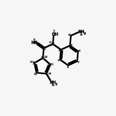 N=C(N(O)c1ccccc1CN)n1cc(N)cn1